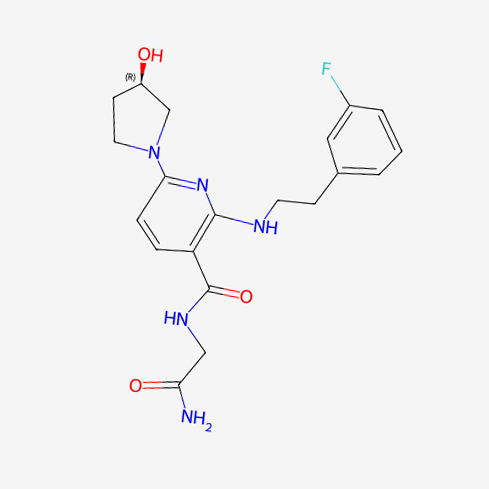 NC(=O)CNC(=O)c1ccc(N2CC[C@@H](O)C2)nc1NCCc1cccc(F)c1